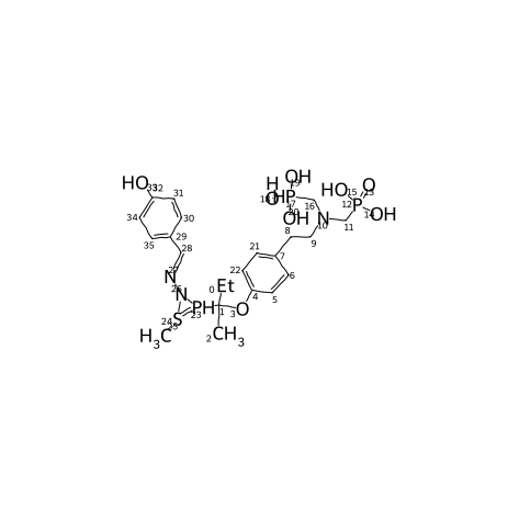 CCC(C)(Oc1ccc(CCN(CP(=O)(O)O)C[PH](O)(O)O)cc1)[PH]1=S(C)N1N=Cc1ccc(O)cc1